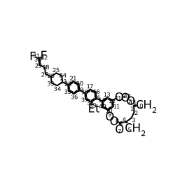 C=C1CCC(=C)C(=O)OOc2cc(cc(-c3ccc(-c4ccc(C5CCC(CCC=C(F)F)CC5)cc4)cc3CC)c2)OOO1